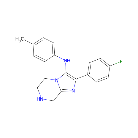 Cc1ccc(Nc2c(-c3ccc(F)cc3)nc3n2CCNC3)cc1